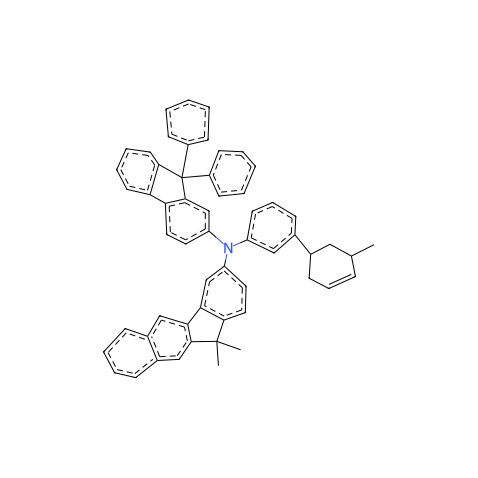 CC1C=CCC(c2cccc(N(c3ccc4c(c3)-c3cc5ccccc5cc3C4(C)C)c3ccc4c(c3)C(c3ccccc3)(c3ccccc3)c3ccccc3-4)c2)C1